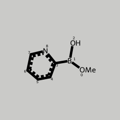 COB(O)c1ccccn1